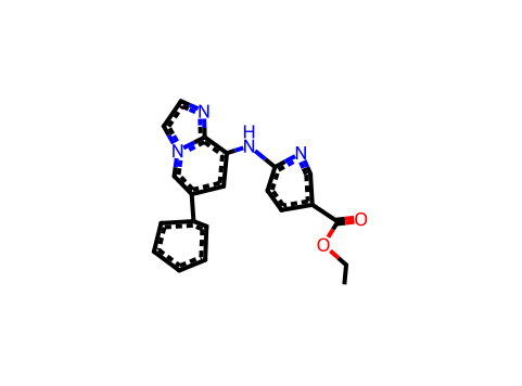 CCOC(=O)c1ccc(Nc2cc(-c3ccccc3)cn3ccnc23)nc1